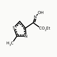 CCOC(=O)C(=NO)c1csc(C)n1